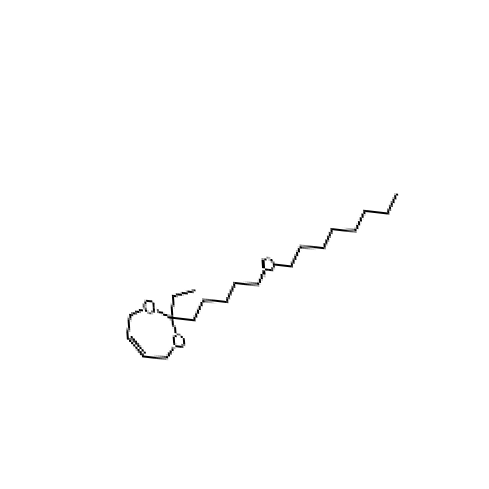 CCCCCCCCOCCCCCC1(CC)OCC=CCO1